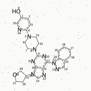 Oc1ccc(N2CCN(c3nc(-n4ncc5ccccc54)c4ncn(C5CCOC5)c4n3)CC2)nc1